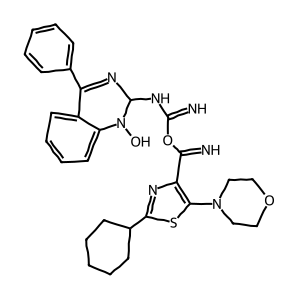 N=C(NC1N=C(c2ccccc2)c2ccccc2N1O)OC(=N)c1nc(C2CCCCC2)sc1N1CCOCC1